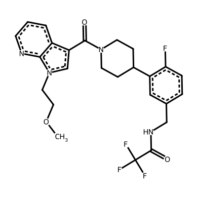 COCCn1cc(C(=O)N2CCC(c3cc(CNC(=O)C(F)(F)F)ccc3F)CC2)c2cccnc21